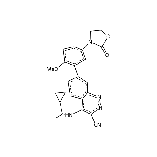 COc1ccc(N2CCOC2=O)cc1-c1ccc2c(NC(C)C3CC3)c(C#N)nnc2c1